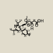 COP(=O)(C#Cc1c(-c2ccc(F)cc2)cc(C(C)C)nc1C(C)C)C[C@@H](O)CC(=O)O